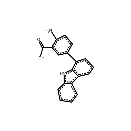 Nc1ccc(-c2cccc3c2[nH]c2ccccc23)cc1C(=O)O